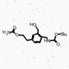 CC(C)(C)OC(=O)NCc1ccc(CCOC(N)=O)cc1CO